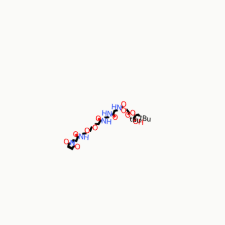 CC(C)(C)CC(CO)OC(COC(=O)NCCC(=O)NCCNC(=O)CCOCCOCCNC(=O)CCN1C(=O)C=CC1=O)OC(C)(C)C